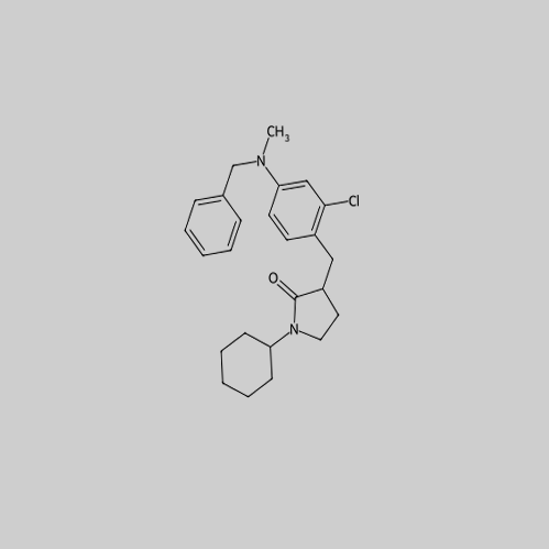 CN(Cc1ccccc1)c1ccc(CC2CCN(C3CCCCC3)C2=O)c(Cl)c1